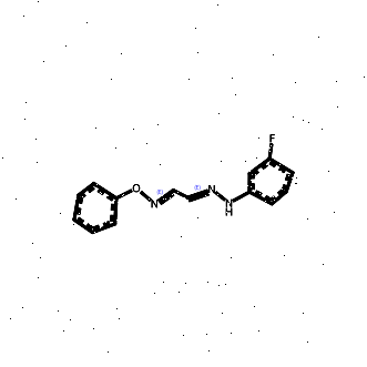 Fc1cccc(N/N=C/C=N/Oc2ccccc2)c1